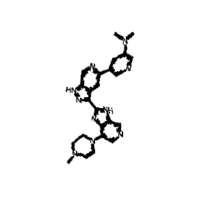 CN1CCN(c2cncc3[nH]c(-c4n[nH]c5cnc(-c6cncc(N(C)C)c6)cc45)nc23)CC1